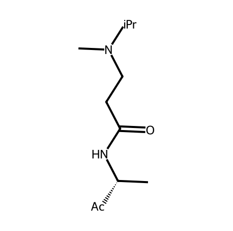 CC(=O)[C@@H](C)NC(=O)CCN(C)C(C)C